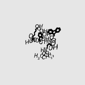 CC(C)(C)OC(=O)NCCC(NC(=O)OCC1c2ccccc2-c2ccccc21)C(=O)O.O=C(O)CCCCC(=O)C(=O)O.O=C(O)c1ccc(O)c(O)c1O